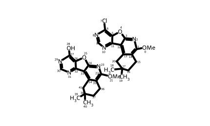 COc1nc2oc3c(Cl)ncnc3c2c2c1CCC(C)(C)C2.COc1nc2oc3c(O)ncnc3c2c2c1CCC(C)(C)C2